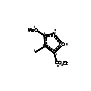 CCOC(=O)c1onc(OC)c1C